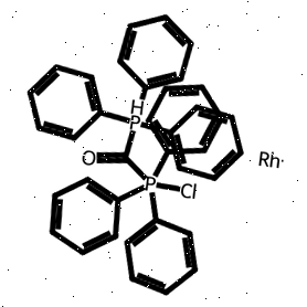 O=C([PH](c1ccccc1)(c1ccccc1)c1ccccc1)P(Cl)(c1ccccc1)(c1ccccc1)c1ccccc1.[Rh]